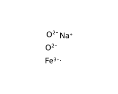 [Fe+3].[Na+].[O-2].[O-2]